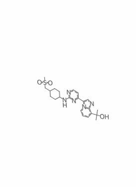 CC(C)(O)c1cccn2c(-c3ccnc(NC4CCC(CS(C)(=O)=O)CC4)n3)cnc12